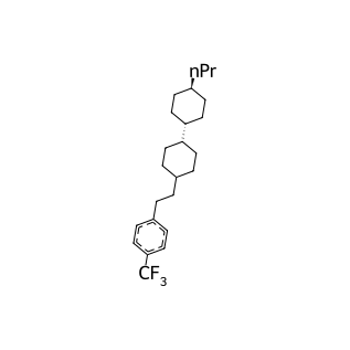 CCC[C@H]1CC[C@H](C2CCC(CCc3ccc(C(F)(F)F)cc3)CC2)CC1